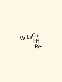 [Cu].[Hf].[La].[Re].[W]